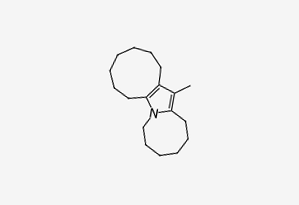 Cc1c2c(n3c1CCCCCC3)CCCCCCC2